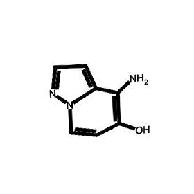 Nc1c(O)ccn2nccc12